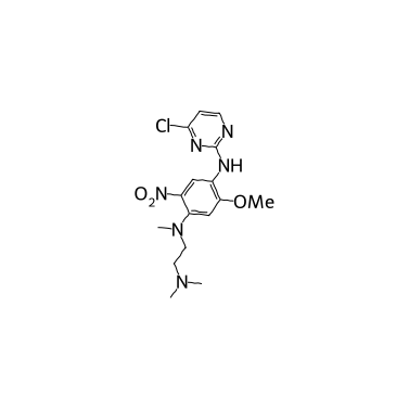 COc1cc(N(C)CCN(C)C)c([N+](=O)[O-])cc1Nc1nccc(Cl)n1